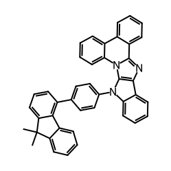 CC1(C)c2ccccc2-c2c(-c3ccc(-n4c5ccccc5c5nc6c7ccccc7c7ccccc7n6c54)cc3)cccc21